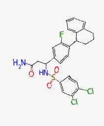 NC(=O)CC(NS(=O)(=O)c1ccc(Cl)c(Cl)c1)c1ccc(C2CCCc3ccccc32)c(F)c1